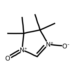 CC1(C)[N+](=O)C=[N+]([O-])C1(C)C